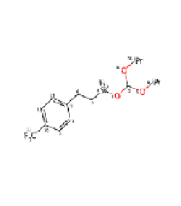 CC(C)OC(O[SiH2]CCc1ccc(C(F)(F)F)cc1)OC(C)C